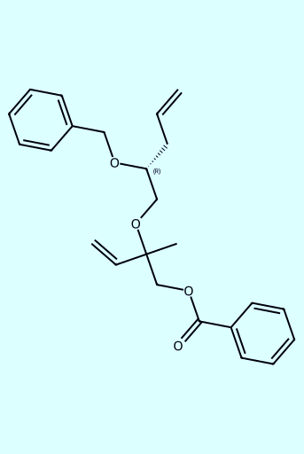 C=CC[C@H](COC(C)(C=C)COC(=O)c1ccccc1)OCc1ccccc1